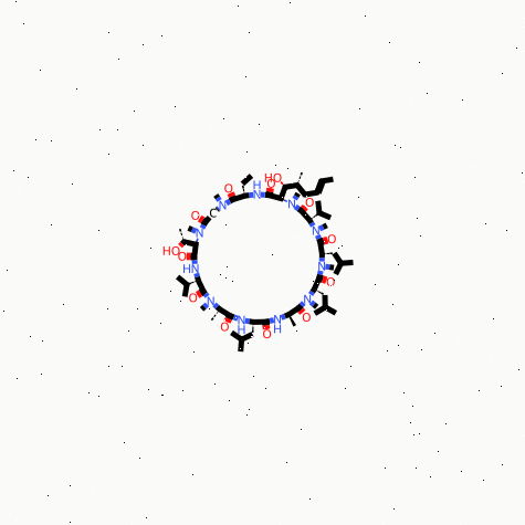 C/C=C/C[C@@H](C)[C@@H](O)[C@H]1C(=O)N[C@@H](CC)C(=O)N(C)CC(=O)N(C)[C@@H]([C@@H](C)O)C(=O)N[C@@H](C(C)C)C(=O)N(C)[C@@H](C)C(=O)N[C@@H](CC(C)C)C(=O)N[C@H](C)C(=O)N(C)[C@@H](CC(C)C)C(=O)N(C)[C@@H](CC(C)C)C(=O)N(C)[C@@H](C(C)C)C(=O)N1C